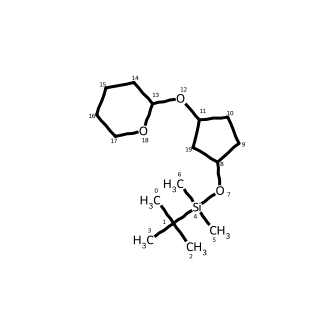 CC(C)(C)[Si](C)(C)OC1CCC(OC2CCCCO2)C1